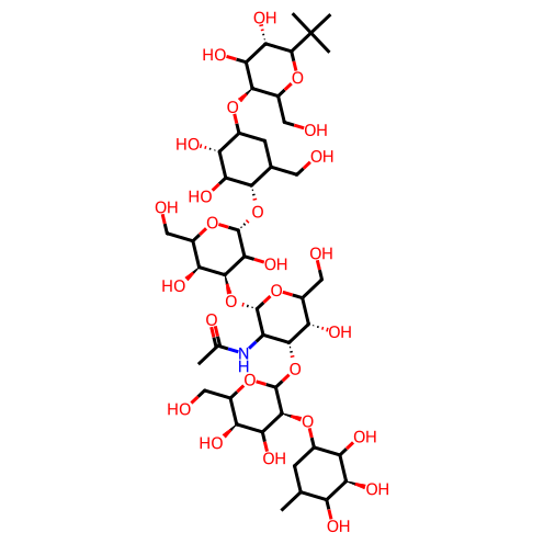 CC(=O)NC1[C@H](O[C@@H]2C(O)[C@@H](O[C@H]3C(CO)CC(O[C@@H]4C(CO)OC(C(C)(C)C)[C@@H](O)C4O)[C@@H](O)C3O)OC(CO)[C@@H]2O)OC(CO)[C@H](O)[C@@H]1OC1OC(CO)[C@H](O)C(O)[C@@H]1OC1CC(C)C(O)[C@H](O)C1O